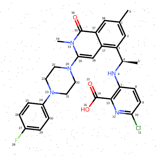 Cc1cc([C@@H](C)Nc2ccc(Cl)nc2C(=O)O)c2cc(N3CCN(c4ccc(F)cc4)CC3)n(C)c(=O)c2c1